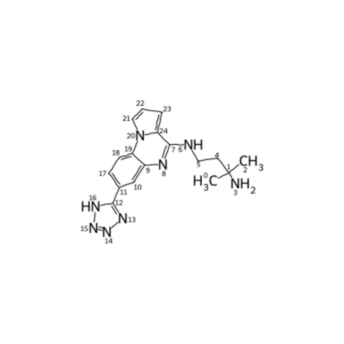 CC(C)(N)CCNc1nc2cc(-c3nnn[nH]3)ccc2n2cccc12